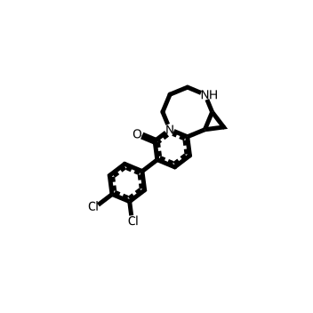 O=c1c(-c2ccc(Cl)c(Cl)c2)ccc2n1CCCNC1CC21